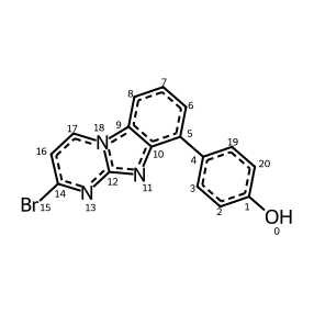 Oc1ccc(-c2cccc3c2nc2nc(Br)ccn23)cc1